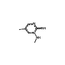 CNn1cc(C)cnc1=N